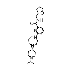 CC(C)N1CCC(N2CCCN(c3cccc(C(=O)NCC4CCCO4)n3)CC2)CC1